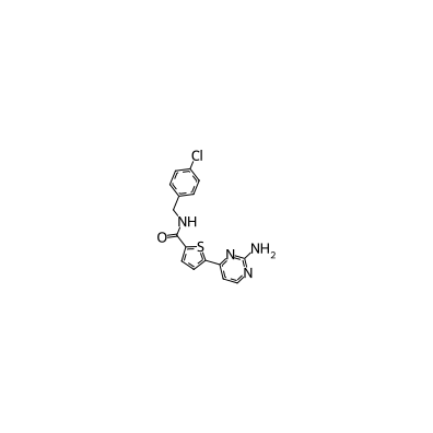 Nc1nccc(-c2ccc(C(=O)NCc3ccc(Cl)cc3)s2)n1